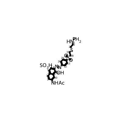 CC(=O)Nc1ccc2cc(S(=O)(=O)O)c(/N=N/c3ccc(S(=O)(=O)CCSCCNP)cc3)c(O)c2c1